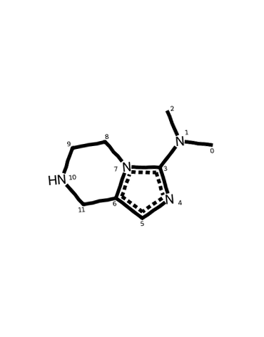 CN(C)c1ncc2n1CCNC2